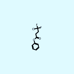 O=C(CCC(F)(F)Cl)Oc1ccccc1